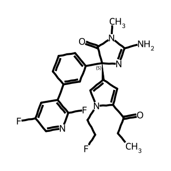 CCC(=O)c1cc([C@]2(c3cccc(-c4cc(F)cnc4F)c3)N=C(N)N(C)C2=O)cn1CCF